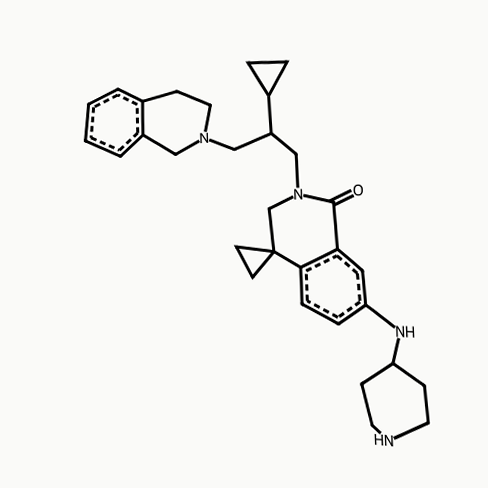 O=C1c2cc(NC3CCNCC3)ccc2C2(CC2)CN1CC(CN1CCc2ccccc2C1)C1CC1